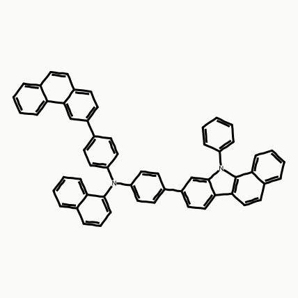 c1ccc(-n2c3cc(-c4ccc(N(c5ccc(-c6ccc7ccc8ccccc8c7c6)cc5)c5cccc6ccccc56)cc4)ccc3c3ccc4ccccc4c32)cc1